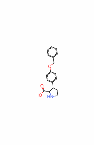 O=C(O)[C@@H]1NCC[C@H]1c1ccc(OCc2ccccc2)cc1